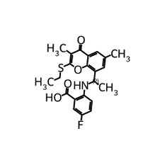 CCSc1oc2c([C@@H](C)Nc3ccc(F)cc3C(=O)O)cc(C)cc2c(=O)c1C